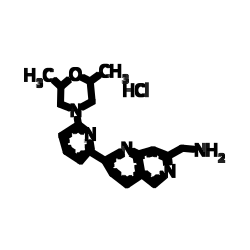 CC1CN(c2cccc(-c3ccc4cnc(CN)cc4n3)n2)CC(C)O1.Cl